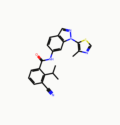 Cc1ncsc1-n1ncc2ccc(NC(=O)c3cccc(C#N)c3C(C)C)cc21